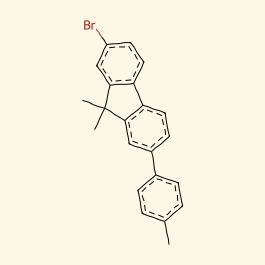 Cc1ccc(-c2ccc3c(c2)C(C)(C)c2cc(Br)ccc2-3)cc1